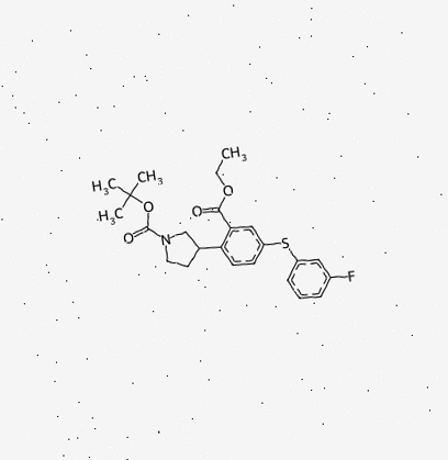 CCOC(=O)c1cc(Sc2cccc(F)c2)ccc1C1CCN(C(=O)OC(C)(C)C)C1